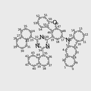 c1ccc2cc3c(cc2c1)c1ccccc1n3-c1cc(-c2nc(-c3cccc4ccccc34)nc(-c3cccc4ccccc34)n2)c2c(c1)oc1ccccc12